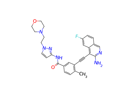 Cc1ccc(C(=O)Nc2ccn(CCN3CCOCC3)n2)cc1C#Cc1c(N)ncc2ccc(F)cc12